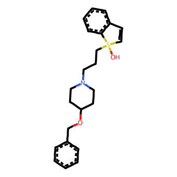 OS1(CCCN2CCC(OCc3ccccc3)CC2)C=Cc2ccccc21